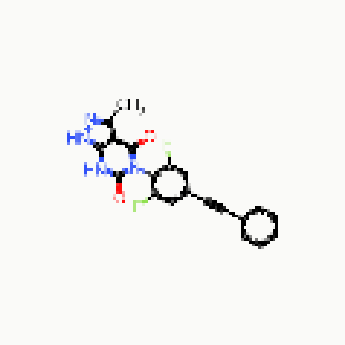 Cc1n[nH]c2[nH]c(=O)n(-c3c(F)cc(C#Cc4ccccc4)cc3F)c(=O)c12